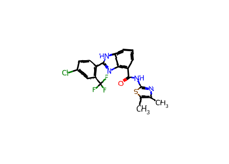 Cc1nc(NC(=O)c2cccc3[nH]c(-c4ccc(Cl)cc4C(F)(F)F)nc23)sc1C